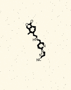 Cc1c(CCNCc2ccc(-n3ccc(C#N)n3)nc2)ccc2c1COC2=O